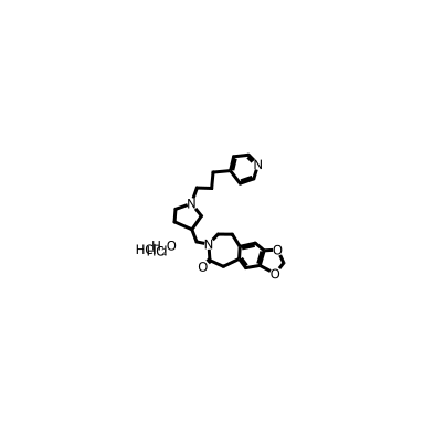 Cl.Cl.O.O=C1Cc2cc3c(cc2CCN1CC1CCN(CCCc2ccncc2)C1)OCO3